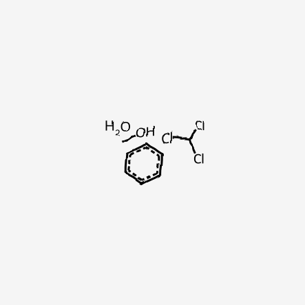 CO.ClC(Cl)Cl.O.c1ccccc1